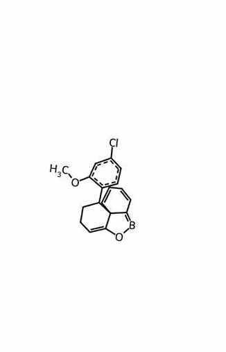 COc1cc(Cl)ccc1C1CCC=C2OB=C3C=CC=CC321